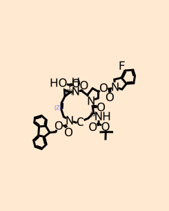 CC(C)(C)OC(=O)N[C@H]1CCCN(C(=O)OCC2c3ccccc3-c3ccccc32)C/C=C\C2C[C@@]2(C(=O)O)NC(=O)C2CC(OC(=O)N3Cc4cccc(F)c4C3)CN2C1=O